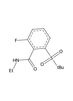 CCNC(=O)c1c(F)cccc1S(=O)(=O)C(C)(C)C